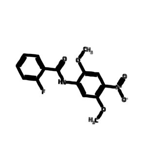 COc1cc([N+](=O)[O-])c(OC)cc1NC(=O)c1ccccc1F